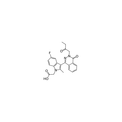 CCC(=O)Cn1nc(-c2c(C)n(CC(=O)O)c3ccc(F)cc23)c2ccccc2c1=O